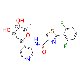 C[C@@H]1O[C@H](c2ccncc2NC(=O)c2csc(-c3c(F)cccc3F)n2)C[C@H](O)[C@H]1O